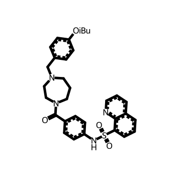 CC(C)COc1ccc(CN2CCCN(C(=O)c3ccc(NS(=O)(=O)c4cccc5cccnc45)cc3)CC2)cc1